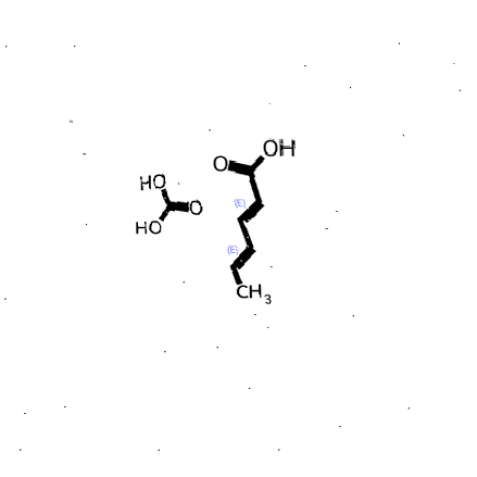 C/C=C/C=C/C(=O)O.O=C(O)O